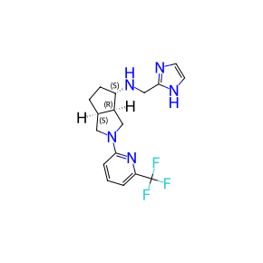 FC(F)(F)c1cccc(N2C[C@H]3CC[C@H](NCc4ncc[nH]4)[C@H]3C2)n1